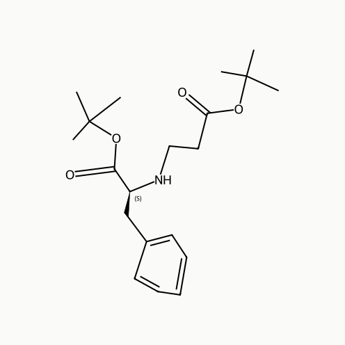 CC(C)(C)OC(=O)CCN[C@@H](Cc1ccccc1)C(=O)OC(C)(C)C